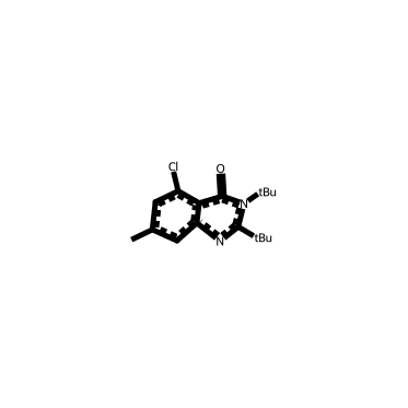 Cc1cc(Cl)c2c(=O)n(C(C)(C)C)c(C(C)(C)C)nc2c1